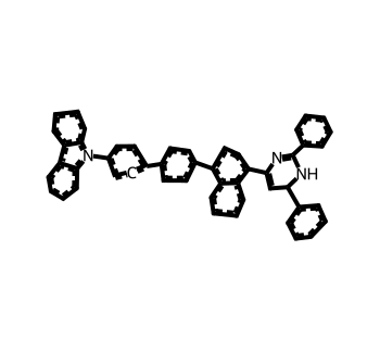 C1=C(c2ccc(-c3ccc(-c4ccc(-n5c6ccccc6c6ccccc65)cc4)cc3)c3ccccc23)N=C(c2ccccc2)NC1c1ccccc1